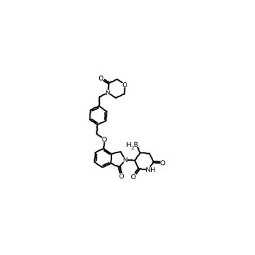 BC1CC(=O)NC(=O)C1N1Cc2c(OCc3ccc(CN4CCOCC4=O)cc3)cccc2C1=O